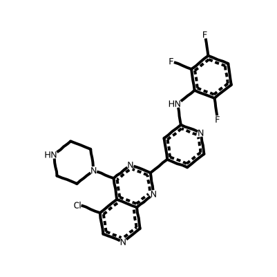 Fc1ccc(F)c(Nc2cc(-c3nc(N4CCNCC4)c4c(Cl)cncc4n3)ccn2)c1F